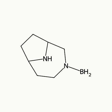 BN1CCC2CCC(C1)N2